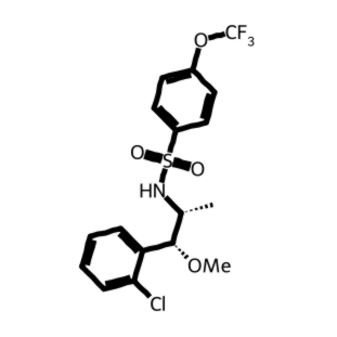 CO[C@H](c1ccccc1Cl)[C@@H](C)NS(=O)(=O)c1ccc(OC(F)(F)F)cc1